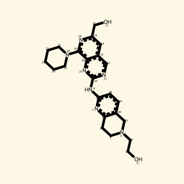 OCCN1CCc2nc(Nc3ncc4cc(CO)nc(N5CCCCC5)c4n3)ccc2C1